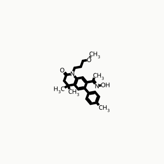 COCCCN1C(=O)CC(C)(C)c2cc(-c3ccc(C)cc3)c(C(C)=NO)cc21